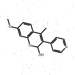 COc1ccc2c(c1)OC(O)C(c1ccncc1)=C2C